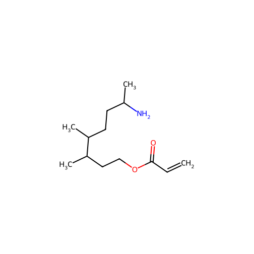 C=CC(=O)OCCC(C)C(C)CCC(C)N